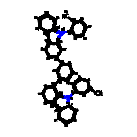 N#Cc1cccc(-n2c3ccccc3c3cccc(-c4cccc(-c5ccc6c7ccccc7n(-c7ccccc7C#N)c6c5)c4)c32)c1